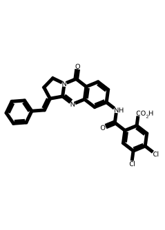 O=C(O)c1cc(Cl)c(Cl)cc1C(=O)Nc1ccc2c(=O)n3c(nc2c1)/C(=C/c1ccccc1)CC3